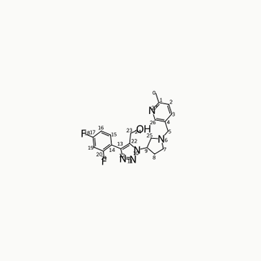 Cc1ccc(CN2CCC(n3nnc(-c4ccc(F)cc4F)c3CO)C2)cn1